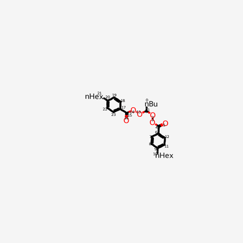 [CH2]CCC[C](OOC(=O)c1ccc(CCCCCC)cc1)OOC(=O)c1ccc(CCCCCC)cc1